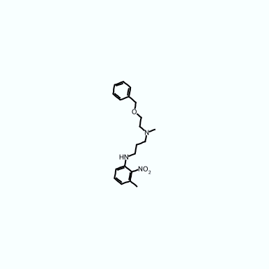 Cc1cccc(NCCCN(C)CCOCc2ccccc2)c1[N+](=O)[O-]